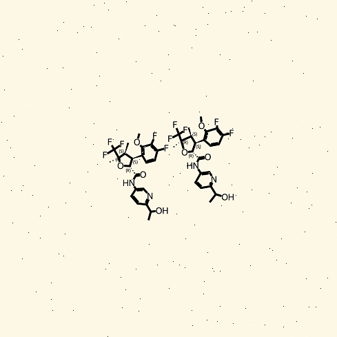 COc1c([C@H]2[C@H](C(=O)Nc3ccc(C(C)O)nc3)O[C@@](C)(C(F)(F)F)[C@H]2C)ccc(F)c1F.COc1c([C@H]2[C@H](C(=O)Nc3ccc(C(C)O)nc3)O[C@@](C)(C(F)(F)F)[C@H]2C)ccc(F)c1F